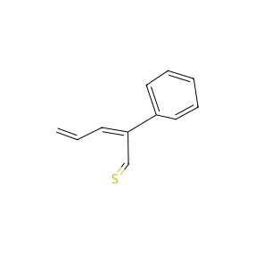 C=C/C=C(\C=S)c1ccccc1